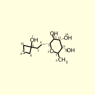 CC1O[C@H](CCC2(O)CSC2)[C@@H](O)[C@H](O)[C@@H]1O